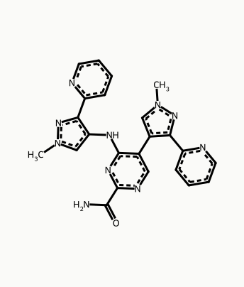 Cn1cc(Nc2nc(C(N)=O)ncc2-c2cn(C)nc2-c2ccccn2)c(-c2ccccn2)n1